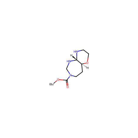 CC(C)(C)OC(=O)N1CC[C@@H]2OCCN[C@H]2NC1